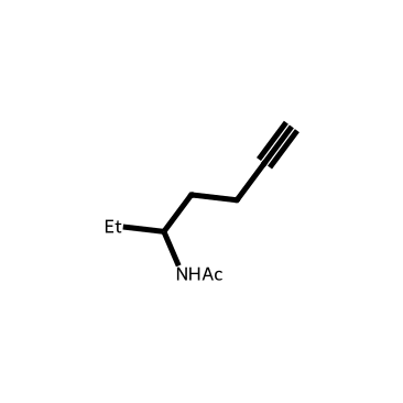 C#CCCC(CC)NC(C)=O